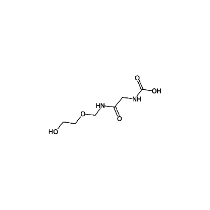 O=C(O)NCC(=O)NCOCCO